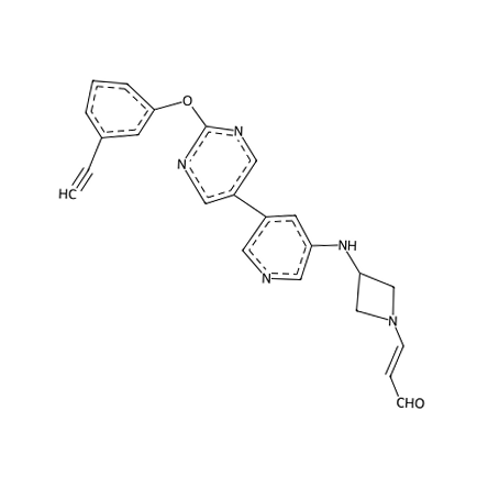 C#Cc1cccc(Oc2ncc(-c3cncc(NC4CN(C=CC=O)C4)c3)cn2)c1